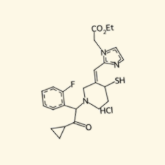 CCOC(=O)Cn1ccnc1/C=C1/CN(C(C(=O)C2CC2)c2ccccc2F)CCC1S.Cl